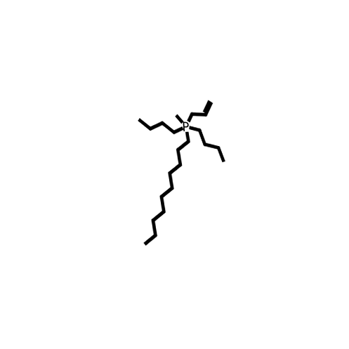 C=CCP(C)(CCCC)(CCCC)CCCCCCCCCC